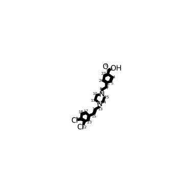 O=C(O)c1ccc(CCN2CCN(CC=Cc3ccc(Cl)c(Cl)c3)CC2)cc1